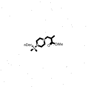 CCCCCCCCCC[Si](C)(C)N1CCN(CC(C)C(=O)OC)CC1